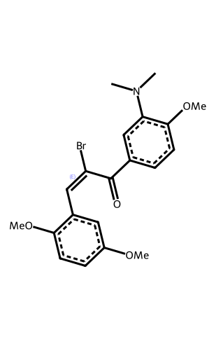 COc1ccc(OC)c(/C=C(/Br)C(=O)c2ccc(OC)c(N(C)C)c2)c1